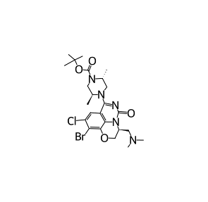 C[C@@H]1CN(c2nc(=O)n3c4c(c(Br)c(Cl)cc24)OC[C@@H]3CN(C)C)[C@@H](C)CN1C(=O)OC(C)(C)C